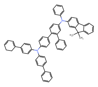 CC1(C)c2ccccc2-c2ccc(N(c3ccccc3)c3ccc(-c4ccc(N(c5ccc(C6=CC=CCC6)cc5)c5ccc(-c6ccccc6)cc5)cc4)c(-c4ccccc4)c3)cc21